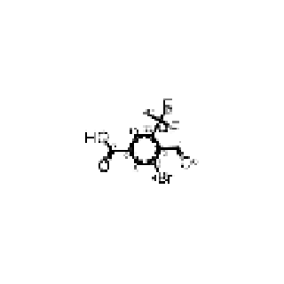 O=Cc1c(Br)cc(C(=O)O)cc1C(F)(F)F